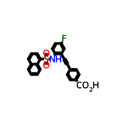 O=C(O)c1ccc(C#Cc2cc(F)ccc2NS(=O)(=O)c2cccc3ccccc23)cc1